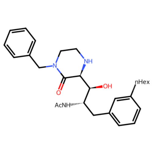 CCCCCCc1cccc(C[C@H](NC(C)=O)[C@H](O)[C@@H]2NCCN(Cc3ccccc3)C2=O)c1